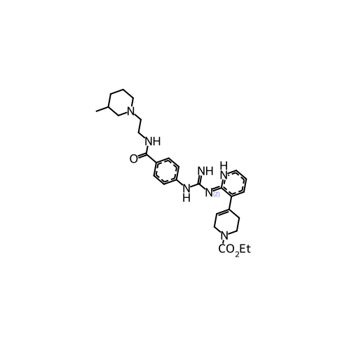 CCOC(=O)N1CC=C(c2ccc[nH]/c2=N\C(=N)Nc2ccc(C(=O)NCCN3CCCC(C)C3)cc2)CC1